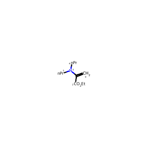 C=C(C(=O)OCC)N(CCC)CCC